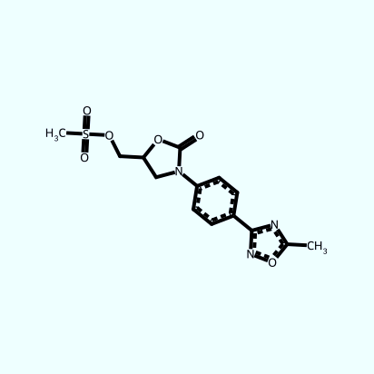 Cc1nc(-c2ccc(N3CC(COS(C)(=O)=O)OC3=O)cc2)no1